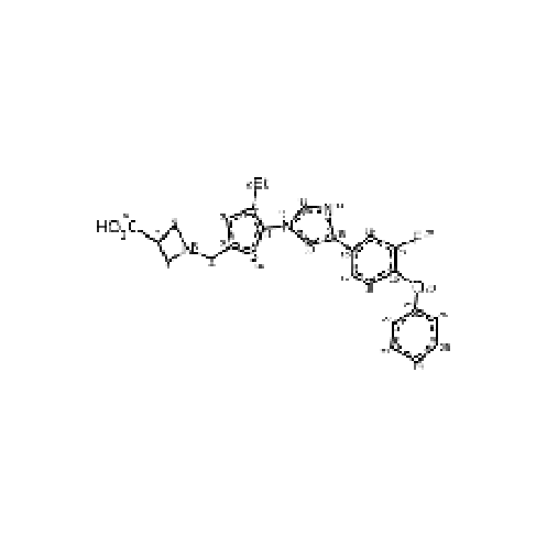 CCc1cc(CN2CC(C(=O)O)C2)sc1-n1cnc(-c2ccc(Oc3ccccc3)c(F)c2)c1